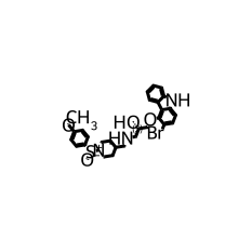 COc1ccc([S+]([O-])N2CCC(CNC[C@H](O)COc3c(Br)ccc4[nH]c5ccccc5c34)CC2)cc1